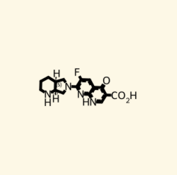 O=C(O)c1c[nH]c2nc(N3C[C@@H]4CCCN[C@@H]4C3)c(F)cc2c1=O